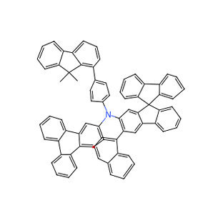 CC1(C)c2ccccc2-c2cccc(-c3ccc(N(c4ccc5c6ccccc6c6ccccc6c5c4)c4cc5c(cc4-c4cccc6ccccc46)-c4ccccc4C54c5ccccc5-c5ccccc54)cc3)c21